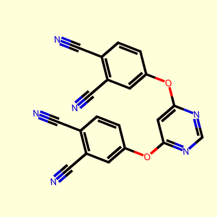 N#Cc1ccc(Oc2cc(Oc3ccc(C#N)c(C#N)c3)ncn2)cc1C#N